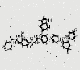 CC(CNc1ccc(S(=O)(=O)NC(=O)c2ccc(C3=CCN(CC4=C(c5ccc(Cl)cc5)CC(C)(C)CC4)CC3)cc2Oc2cnc3[nH]ccc3c2)cc1[N+](=O)[O-])N1CCOCC1